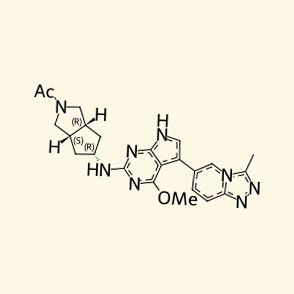 COc1nc(N[C@@H]2C[C@@H]3CN(C(C)=O)C[C@@H]3C2)nc2[nH]cc(-c3ccc4nnc(C)n4c3)c12